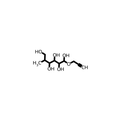 C#CCOC(O)C(O)C(O)C(O)C(C)CO